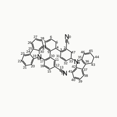 N#CC1=C(C2CC=CC=C2c2cc(C#N)ccc2-n2c3ccccc3c3ccccc32)C=CC(n2c3c(c4ccccc42)CCC=C3)C1